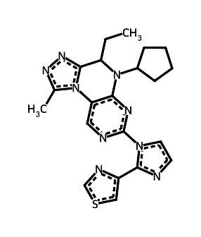 CCC1c2nnc(C)n2-c2cnc(-n3ccnc3-c3cscn3)nc2N1C1CCCC1